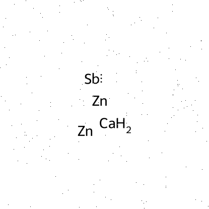 [CaH2].[Sb].[Zn].[Zn]